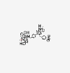 CC(=O)Nc1nc(-c2ccc(CCNC(NC(=O)O)(N(C(=O)O)C(C)(C)C)C(C)(C)C)cc2)c(Cc2ccc(S(C)(=O)=O)cc2)s1